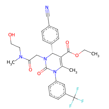 CCOC(=O)C1=C(C)N(c2cccc(C(F)(F)F)c2)C(=O)N(CC(=O)N(C)CCO)[C@@H]1c1ccc(C#N)cc1